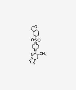 Cc1cc2nccn2nc1N1CCN(S(=O)(=O)c2ccc3c(c2)CCO3)CC1